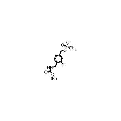 CC(C)(C)OC(=O)NCc1ccc(COS(C)(=O)=O)cc1F